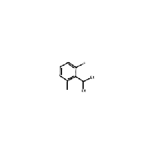 CCC(CC)c1c(C)cccc1F